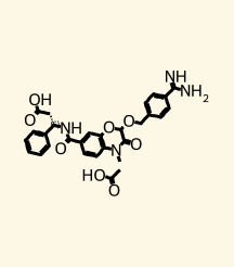 CC(=O)O.CN1C(=O)C(OCc2ccc(C(=N)N)cc2)Oc2cc(C(=O)N[C@@H](CC(=O)O)c3ccccc3)ccc21